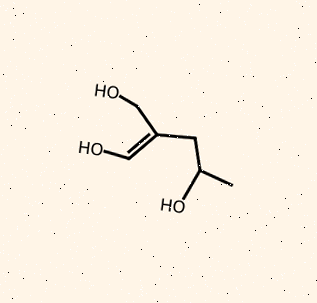 CC(O)CC(=CO)CO